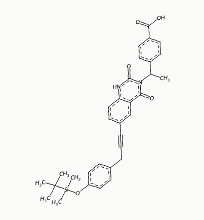 CC(c1ccc(C(=O)O)cc1)n1c(=O)[nH]c2ccc(C#CCc3ccc(O[Si](C)(C)C(C)(C)C)cc3)cc2c1=O